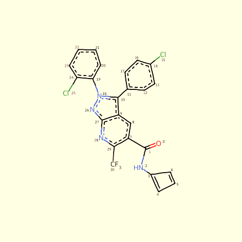 O=C(NC1=CC=C1)c1cc2c(-c3ccc(Cl)cc3)n(-c3ccccc3Cl)nc2nc1C(F)(F)F